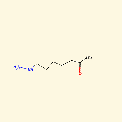 CC(C)(C)C(=O)CCCCCNN